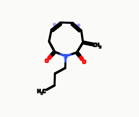 C=C1/C=C\C=C/CC(=O)N(CCCC)C1=O